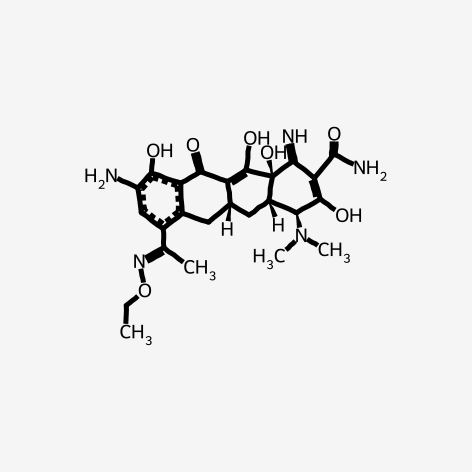 CCO/N=C(\C)c1cc(N)c(O)c2c1C[C@H]1C[C@H]3[C@H](N(C)C)C(O)=C(C(N)=O)C(=N)[C@@]3(O)C(O)=C1C2=O